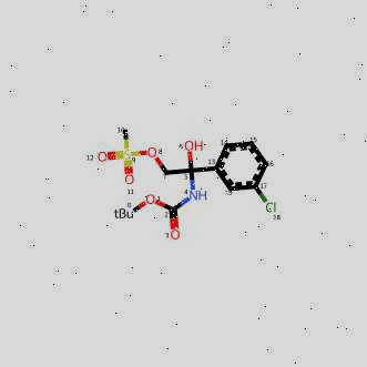 CC(C)(C)OC(=O)NC(O)(COS(C)(=O)=O)c1cccc(Cl)c1